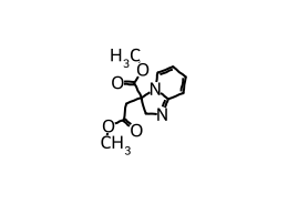 COC(=O)CC1(C(=O)OC)CN=C2C=CC=CN21